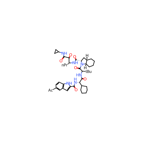 CCC[C@H](NC(=O)[C@@H]1C[C@@H]2CCCC[C@@H]2N1C(=O)C(NC(=O)[C@@H](NC(=O)c1cc2cc(C(C)=O)ccc2[nH]1)C1CCCCC1)C(C)(C)C)C(=O)C(=O)NC1CC1